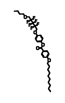 CCCCCCCCCCOc1ccc(C(=O)Oc2ccc(OCC(F)(F)C(F)(F)C(F)(F)COCCCC)cc2)cc1